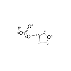 C1CCOC1.COC(=O)OC